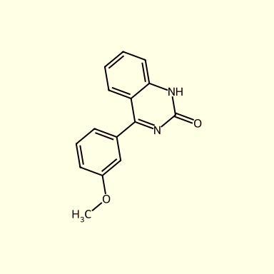 COc1cccc(-c2nc(=O)[nH]c3ccccc23)c1